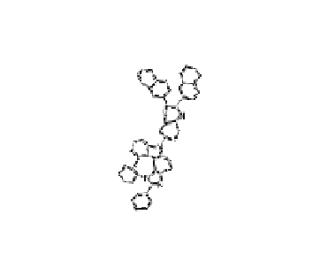 c1ccc(-c2nc3ccc4c5c6c(cccc6n4-c4ccc6nc(-c7ccc8ccccc8c7)c(-c7ccc8ccccc8c7)nc6c4)c4ccccc4n2c35)cc1